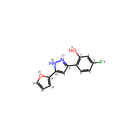 Oc1cc(F)ccc1-c1cc(-c2ccco2)[nH]n1